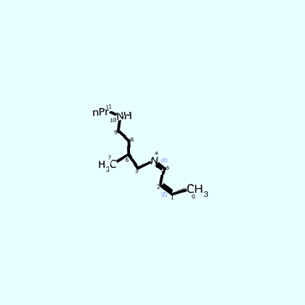 C/C=C\C=N/CC(C)CCNCCC